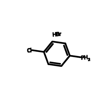 Br.Pc1ccc(Cl)cc1